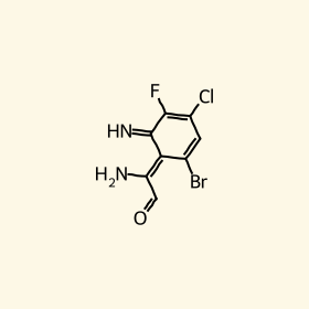 N=C1C(F)=C(Cl)C=C(Br)/C1=C(/N)C=O